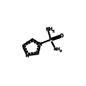 NP(N)(=O)n1ccnc1